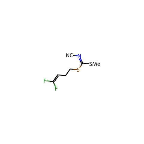 CSC(=NC#N)SCCC=C(F)F